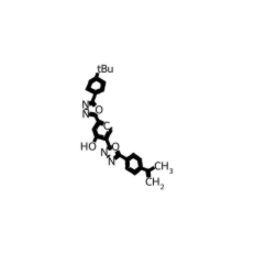 C=C(C)c1ccc(-c2nnc(-c3ccc(-c4nnc(-c5ccc(C(C)(C)C)cc5)o4)cc3O)o2)cc1